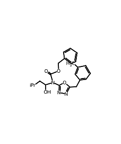 Cc1cccc(Cc2nnc(N(C(=O)OCc3ccccc3)C(O)CC(C)C)o2)c1